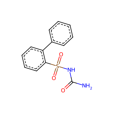 NC(=O)NS(=O)(=O)c1ccccc1-c1ccccc1